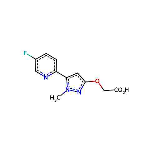 Cn1nc(OCC(=O)O)cc1-c1ccc(F)cn1